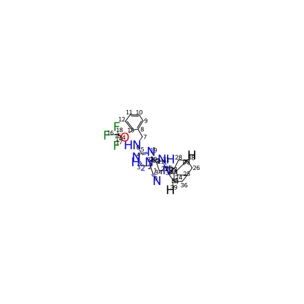 N#Cc1cnc(NCc2ccccc2OC(F)(F)F)nc1NCC12CC3C[C@H](C1)C(N1CC(N)C1)[C@@H](C3)C2